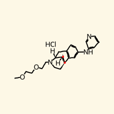 COCCOCCN1CC[C@]23CCCC[C@H]2[C@H]1Cc1ccc(Nc2cccnc2)cc13.Cl